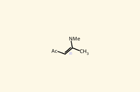 CN/C(C)=C\C(C)=O